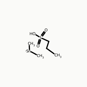 CCCS(=O)(=O)O.[CH3][Sn][CH3]